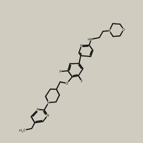 CCc1cnc(N2CCC(COc3c(F)cc(-c4ccc(NCCN5CCOCC5)nc4)cc3F)CC2)nc1